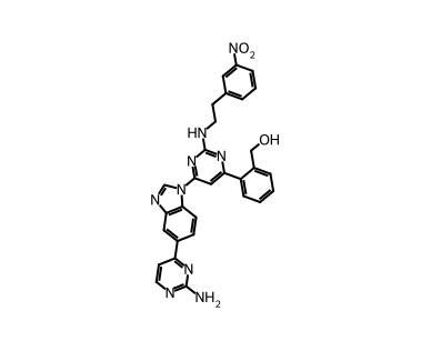 Nc1nccc(-c2ccc3c(c2)ncn3-c2cc(-c3ccccc3CO)nc(NCCc3cccc([N+](=O)[O-])c3)n2)n1